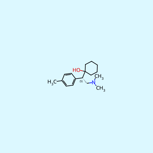 Cc1ccc([C@@H](CN(C)C)C2(O)CCCCC2)cc1